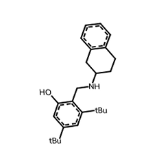 CC(C)(C)c1cc(O)c(CNC2CCc3ccccc3C2)c(C(C)(C)C)c1